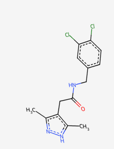 Cc1n[nH]c(C)c1CC(=O)NCc1ccc(Cl)c(Cl)c1